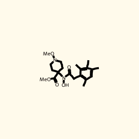 COC(=O)C1(N(O)C(=O)Cc2c(C)cc(C)c(C)c2C)CCN(OC)CC1